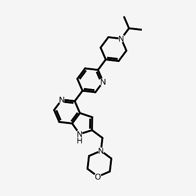 CC(C)N1CC=C(c2ccc(-c3nccc4[nH]c(CN5CCOCC5)cc34)cn2)CC1